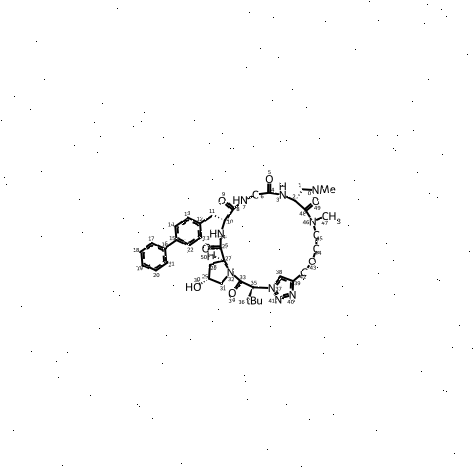 CNC[C@H]1NC(=O)CNC(=O)[C@@H](Cc2ccc(-c3ccccc3)cc2)NC(=O)[C@@H]2C[C@@H](O)CN2C(=O)[C@H](C(C)(C)C)n2cc(nn2)COCCN(C)C1=O